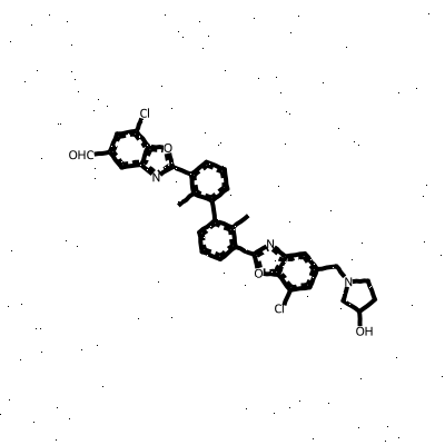 Cc1c(-c2nc3cc(C=O)cc(Cl)c3o2)cccc1-c1cccc(-c2nc3cc(CN4CCC(O)C4)cc(Cl)c3o2)c1C